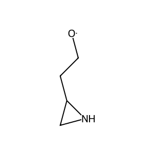 [O]CCC1CN1